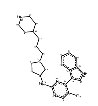 Clc1cnc(NC2CCN(CCCC3CCNCC3)C2)nc1-c1c[nH]c2ccccc12